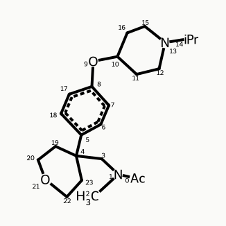 CC(=O)N(C)CC1(c2ccc(OC3CCN(C(C)C)CC3)cc2)CCOCC1